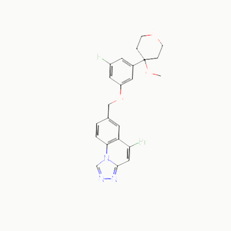 COC1(c2cc(F)cc(OCc3ccc4c(c3)c(Br)cc3nncn34)c2)CCOCC1